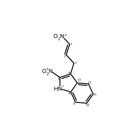 O=[N+]([O-])C=CCc1c([N+](=O)[O-])[nH]c2ccccc12